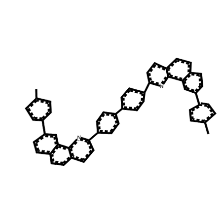 Cc1ccc(-c2ccc3ccc4ccc(-c5ccc(-c6ccc(-c7ccc8ccc9ccc(-c%10ccc(C)cc%10)cc9c8n7)cc6)cc5)nc4c3c2)cc1